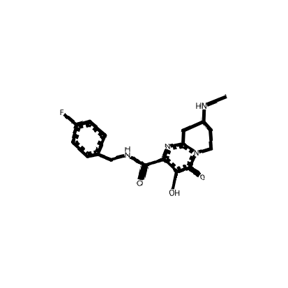 CNC1CCn2c(nc(C(=O)NCc3ccc(F)cc3)c(O)c2=O)C1